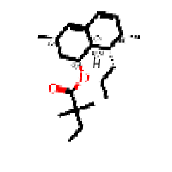 CCC[C@@H]1[C@@H]2C(=C[C@H](C)C[C@@H]2OC(=O)C(C)(C)CC)C=C[C@@H]1C